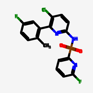 Cc1ccc(F)cc1-c1nc(NS(=O)(=O)c2cccc(F)n2)ccc1Cl